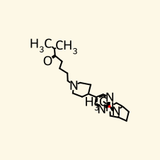 CC(C)C(=O)CCCCN1CCC(c2cnc(N3C4CCC3CN(C)C4)nc2)CC1